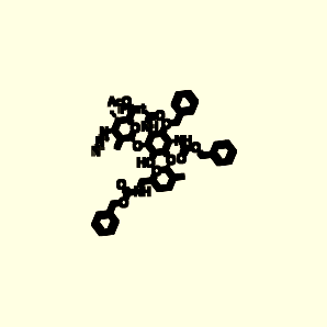 CCC[C@H](C)C(=O)N[C@@H]1C(OCc2ccccc2)[C@H](NC(=O)OCc2ccccc2)C(O[C@H]2OC(CNC(=O)OCc3ccccc3)CCC2C)C(O)[C@H]1O[C@H]1OC(COC(C)=O)[C@@H](C)[C@H](N=[N+]=[N-])C1C